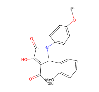 COc1ccccc1C1C(C(=O)C(C)(C)C)=C(O)C(=O)N1c1ccc(OC(C)C)cc1